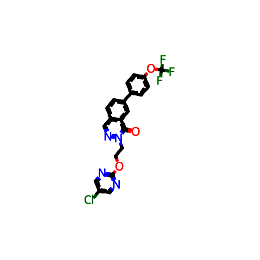 O=c1c2cc(-c3ccc(OC(F)(F)F)cc3)ccc2cnn1CCOc1ncc(Cl)cn1